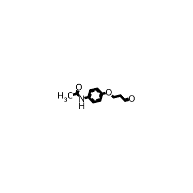 CC(=O)Nc1ccc(OCCC=O)cc1